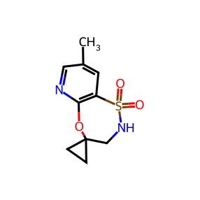 Cc1cnc2c(c1)S(=O)(=O)NCC1(CC1)O2